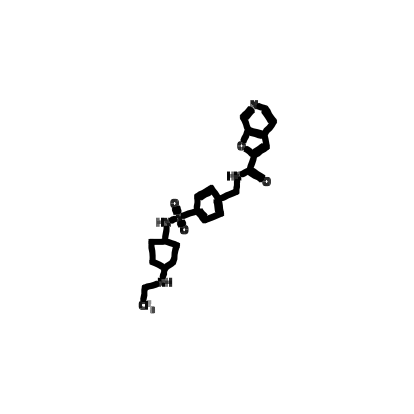 O=C(NCc1ccc(S(=O)(=O)NC2CCC(NCC(F)(F)F)CC2)cc1)c1cc2ccncc2o1